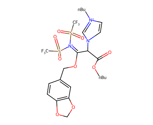 CCCCOC(=O)C(C(OCc1ccc2c(c1)OCO2)=[N+](S(=O)(=O)C(F)(F)F)S(=O)(=O)C(F)(F)F)n1cc[n+](CCCC)c1